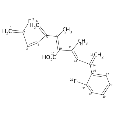 C=C(F)/C=C\C(=C)/C(C)=C(C(=O)O)/C(C)=C/C(=C)c1ccccc1F